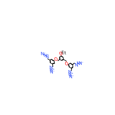 CCOc1cc(COc2cc(CN=[N+]=[N-])cc(CN=[N+]=[N-])c2)cc(COc2cc(CN=[N+]=[N-])cc(CN=[N+]=[N-])c2)c1